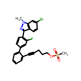 Cn1nc(-c2ccc(-c3ccccc3C#CCCCOS(C)(=O)=O)cc2F)c2ccc(Br)cc21